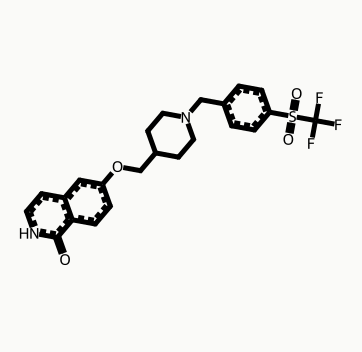 O=c1[nH]ccc2cc(OCC3CCN(Cc4ccc(S(=O)(=O)C(F)(F)F)cc4)CC3)ccc12